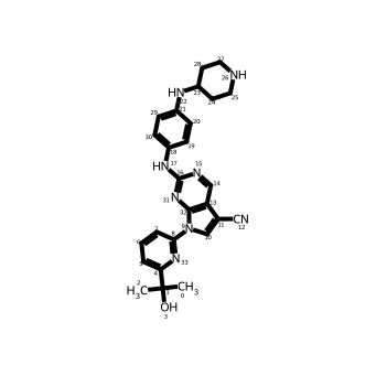 CC(C)(O)c1cccc(-n2cc(C#N)c3cnc(Nc4ccc(NC5CCNCC5)cc4)nc32)n1